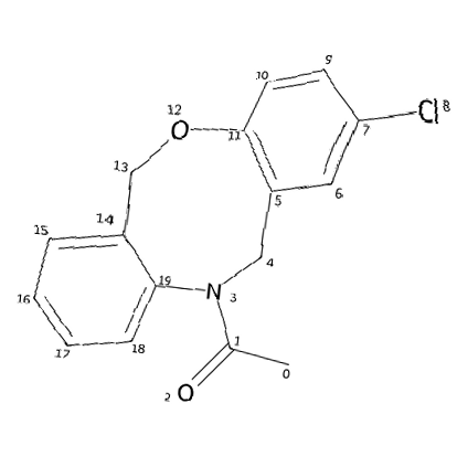 CC(=O)N1Cc2cc(Cl)ccc2OCc2ccccc21